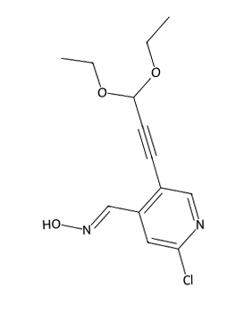 CCOC(C#Cc1cnc(Cl)cc1C=NO)OCC